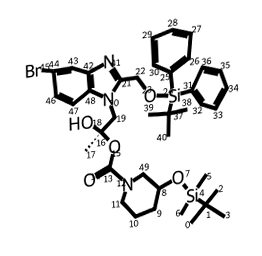 CC(C)(C)[Si](C)(C)OC1CCCN(C(=O)O[C@@](C)(O)Cn2c(CO[Si](c3ccccc3)(c3ccccc3)C(C)(C)C)nc3cc(Br)ccc32)C1